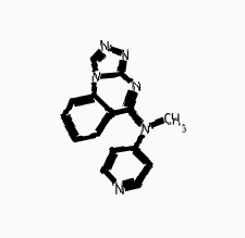 CN(c1ccncc1)c1nc2nncn2c2ccccc12